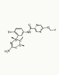 C[C@H]1SC(N)=N[C@](C)(c2cc(NC(=O)c3cnc(OCF)cn3)ccc2F)[C@H]1F